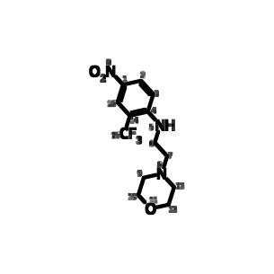 O=[N+]([O-])c1ccc(NCCN2CCOCC2)c(C(F)(F)F)c1